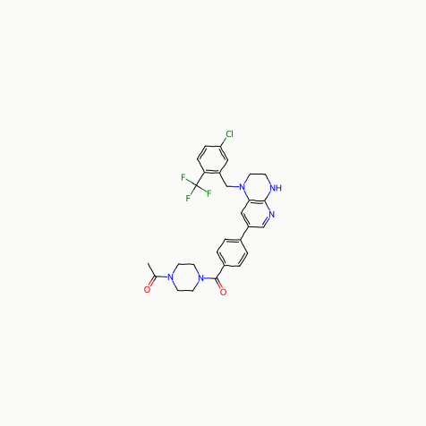 CC(=O)N1CCN(C(=O)c2ccc(-c3cnc4c(c3)N(Cc3cc(Cl)ccc3C(F)(F)F)CCN4)cc2)CC1